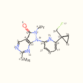 CSc1ncc2c(=O)n(C(C)C)n(-c3cccc(C4(CF)CC4)n3)c2n1